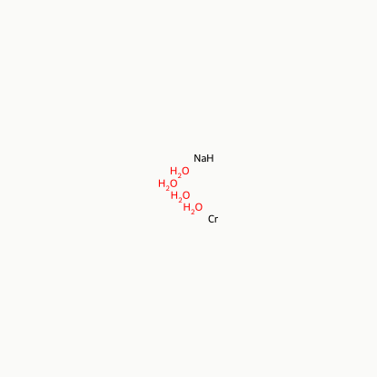 O.O.O.O.[Cr].[NaH]